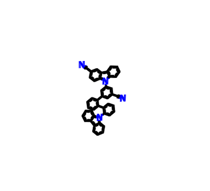 N#Cc1cc(-c2ccccc2-c2ccccc2-n2c3ccccc3c3ccccc32)cc(-n2c3ccccc3c3cc(C#N)ccc32)c1